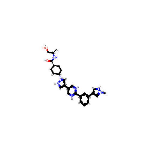 C[C@H](CO)NC(=O)[C@H]1CC[C@H](n2cc(-c3cnc(-c4cccc(-c5cnn(C)c5)c4)nc3)cn2)CC1